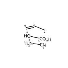 C=CC.N#CN.O=C(O)O